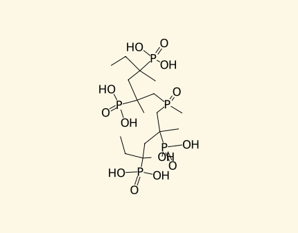 CCC(C)(CC(C)(CP(C)(=O)CC(C)(CC(C)(CC)P(=O)(O)O)P(=O)(O)O)P(=O)(O)O)P(=O)(O)O